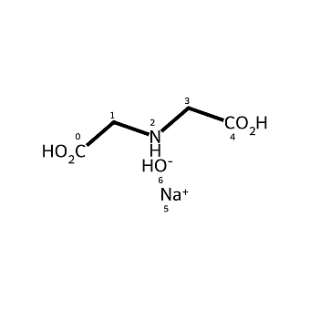 O=C(O)CNCC(=O)O.[Na+].[OH-]